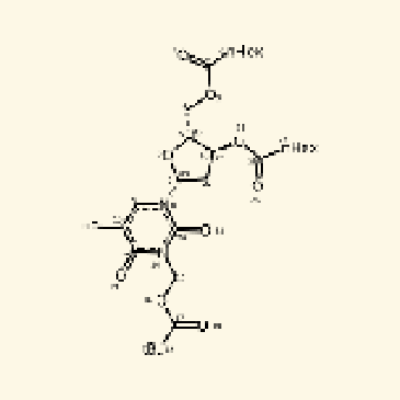 CCCCCCC(=O)OC[C@H]1O[C@@H](n2cc(F)c(=O)n(COC(=O)C(C)(C)C)c2=O)C[C@@H]1OC(=O)CCCCCC